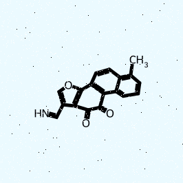 Cc1cccc2c3c(ccc12)-c1occ(C=N)c1C(=O)C3=O